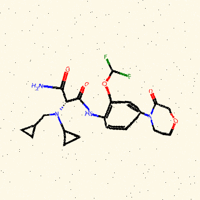 NC(=O)[C@H](C(=O)Nc1ccc(N2CCOCC2=O)cc1OC(F)F)N(CC1CC1)C1CC1